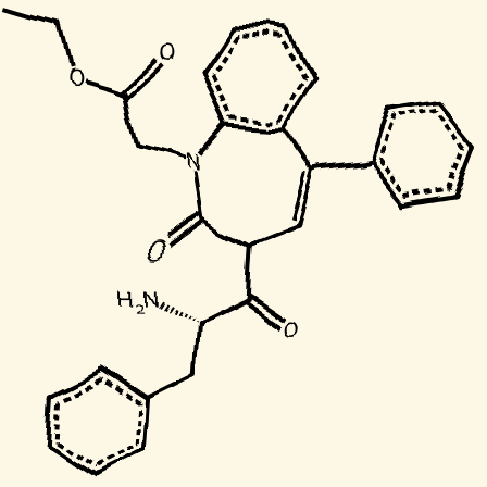 CCOC(=O)CN1C(=O)C(C(=O)[C@@H](N)Cc2ccccc2)C=C(c2ccccc2)c2ccccc21